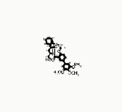 CCOc1ccc(-c2cc(OC)c(OC)c(OC)c2)cc1C(=O)N[C@@H](CO)Cc1c[nH]c2ccccc12